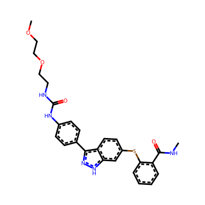 CNC(=O)c1ccccc1Sc1ccc2c(-c3ccc(NC(=O)NCCOCCOC)cc3)n[nH]c2c1